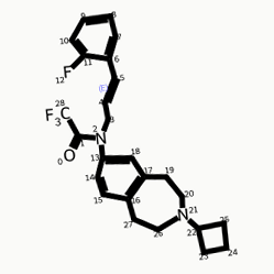 O=C(N(C/C=C/c1ccccc1F)c1ccc2c(c1)CCN(C1CCC1)CC2)C(F)(F)F